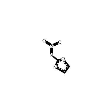 O=S(=O)=Nc1ncco1